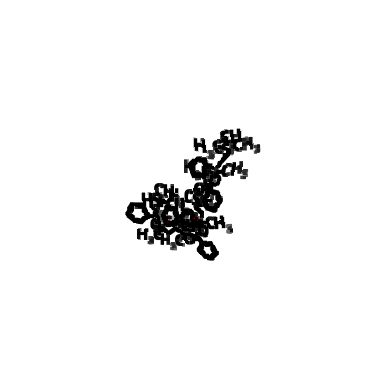 C[SiH](C)O[Si](O[Si](C)(C)CC[Si](C)(C)O[Si](O[Si](C)(C)CC[Si](C)(C)O[Si](O[Si](C)(C)CC[Si](C)(C)C)(c1ccccc1)c1ccccc1)(c1ccccc1)c1ccccc1)(c1ccccc1)c1ccccc1